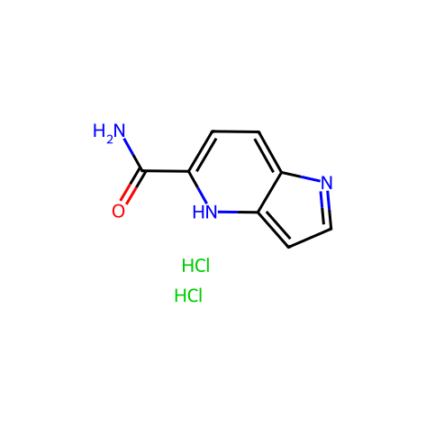 Cl.Cl.NC(=O)c1ccc2nccc-2[nH]1